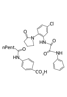 CCCCCC(=O)Nc1ccc(C(=O)O)cc1.O=C(Nc1ccccc1)C(=O)Nc1cc(Cl)ccc1N1CCCC1=O